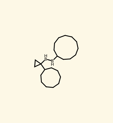 B(BC1(C2CCCCCCCC2)CC1)C1CCCCCCCCCC1